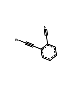 N#Cc1ccccc1C#CBr